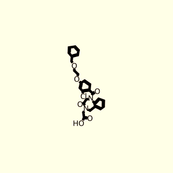 O=C(O)CN1Cc2ccccc2N(C(=O)c2ccc(OCCOCc3ccccc3)cc2Cl)CC1=O